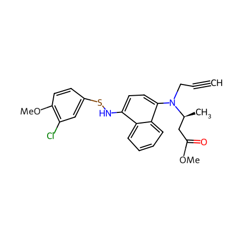 C#CCN(c1ccc(NSc2ccc(OC)c(Cl)c2)c2ccccc12)[C@@H](C)CC(=O)OC